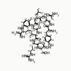 CC(C)C[C@H](NC(=O)[C@H](CC(N)=O)NC(=O)[C@@H](N)Cc1ccc(O)cc1)C(=O)N[C@@H](Cc1ccc(O)cc1)C(=O)N[C@@H](CCCNC(=N)N)C(=O)N[C@H](C(=O)N[C@@H](CCCNC(=N)N)C(=O)N[C@@H](CO)C(=O)O)C(C)C